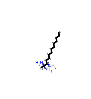 CCCCCCCCCCCC(N)C(C)(N)N